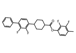 Cc1ccc(OC(=O)C2CCC(c3ccc(-c4ccccc4)c(F)c3F)CC2)c(F)c1F